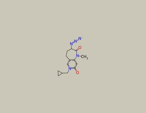 CN1C(=O)C(N=[N+]=[N-])CCc2cn(CC3CC3)c(=O)cc21